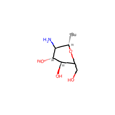 CC(C)(C)[C@@H]1OC(CO)[C@@H](O)[C@H](O)C1N